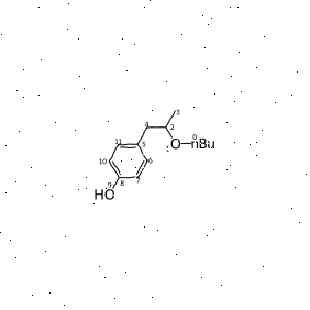 CCCCOC(C)Cc1ccc(O)cc1